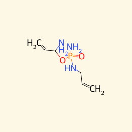 C=CCNP(N)(=O)OC(N)C=C